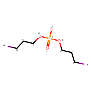 [O]P(=O)(OCCCI)OCCCI